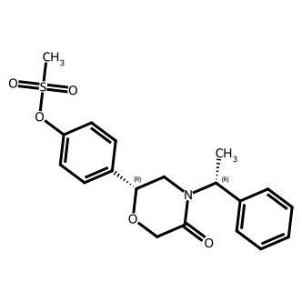 C[C@H](c1ccccc1)N1C[C@@H](c2ccc(OS(C)(=O)=O)cc2)OCC1=O